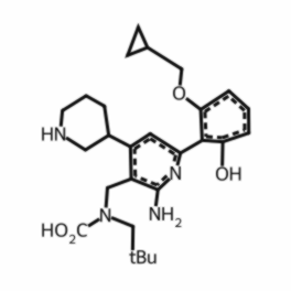 CC(C)(C)CN(Cc1c(C2CCCNC2)cc(-c2c(O)cccc2OCC2CC2)nc1N)C(=O)O